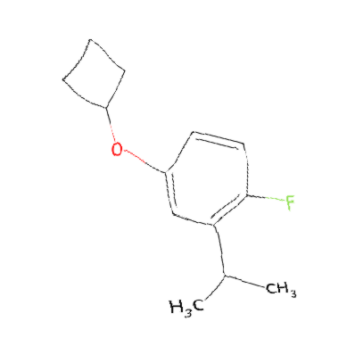 CC(C)c1cc(OC2CCC2)ccc1F